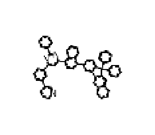 c1ccc(-c2nc(-c3cccc(-c4cccnc4)c3)cc(-c3ccc(-c4ccc5c(c4)-c4cc6ccccc6cc4C5(c4ccccc4)c4ccccc4)c4ccccc34)n2)cc1